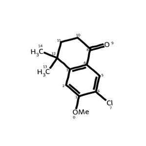 COc1cc2c(cc1Cl)C(=O)CCC2(C)C